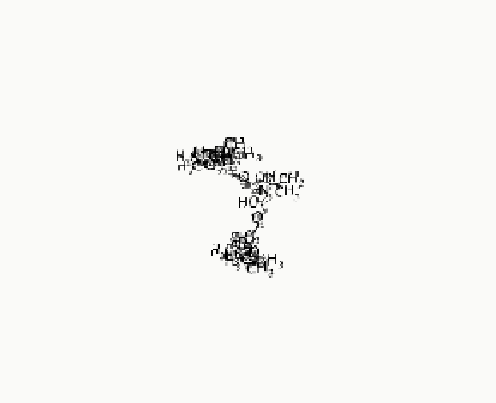 C=C(C)C(=O)N(CC(O)COCCC[Si](C)(O[Si](C)(C)C)O[Si](C)(C)C)CC(O)COCCC[Si](C)(O[Si](C)(C)C)O[Si](C)(C)C